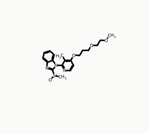 COCCOCCCOc1ccnc(-n2c([S+](C)[O-])nc3ccccc32)c1C